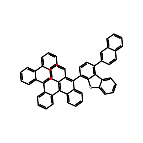 c1ccc(-c2cc3ccccc3c3ccccc23)c(-c2c3ccccc3c(-c3ccc(-c4ccc5ccccc5c4)c4c3oc3ccccc34)c3ccccc23)c1